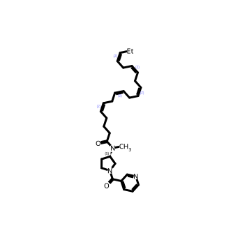 CC/C=C\C/C=C\C/C=C\C/C=C\C/C=C\CCCC(=O)N(C)[C@H]1CCN(C(=O)c2cccnc2)C1